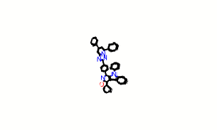 c1ccc(-c2cc(-c3ccccc3)n3nc(-c4ccc(-c5nc6oc7ccccc7c6c6c7ccccc7n(-c7ccccc7)c56)cc4)nc3c2)cc1